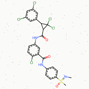 CN=S(C)(=O)c1ccc(NC(=O)c2cc(NC(=O)C3C(c4cc(Cl)cc(Cl)c4)C3(Cl)Cl)ccc2Cl)cc1